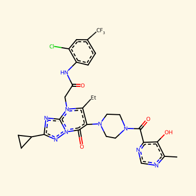 CCc1c(N2CCN(C(=O)c3ncnc(C)c3O)CC2)c(=O)n2nc(C3CC3)nc2n1CC(=O)Nc1ccc(C(F)(F)F)cc1Cl